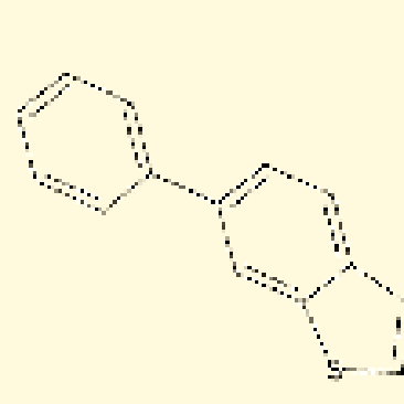 [c]1nc2ccc(-c3ccccc3)cc2s1